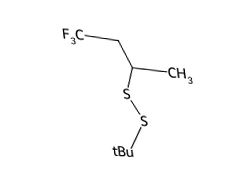 CC(CC(F)(F)F)SSC(C)(C)C